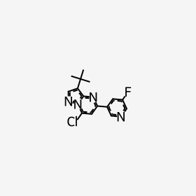 CC(C)(C)c1cnn2c(Cl)cc(-c3cncc(F)c3)nc12